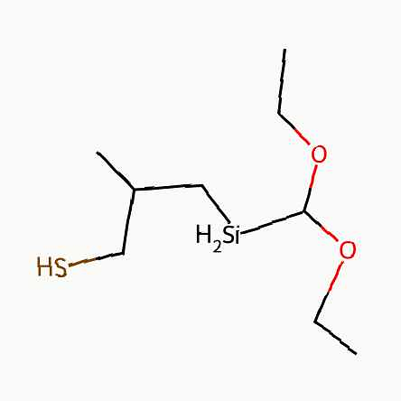 CCOC(OCC)[SiH2]CC(C)CS